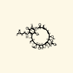 COC1C=CC=C(C)C(=O)NC2=C(C)C(=O)C(NCCN(C)C)=C(CC(C)CC(OC)C(O)C(C)C=C(C)C1OC(N)=O)C2=O